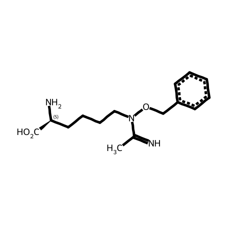 CC(=N)N(CCCC[C@H](N)C(=O)O)OCc1ccccc1